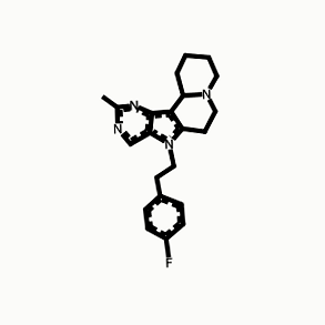 Cc1ncc2c(n1)c1c(n2CCc2ccc(F)cc2)CCN2CCCCC12